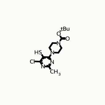 Cc1nc(Cl)c(S)c(N2CCN(C(=O)OC(C)(C)C)CC2)n1